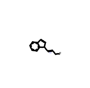 FC/C=C/C1[C]=Cc2ccccc21